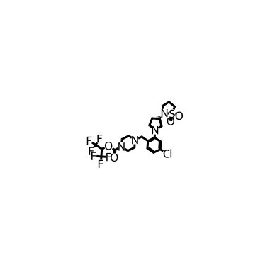 O=C(OC(C(F)(F)F)C(F)(F)F)N1CCN(Cc2ccc(Cl)cc2N2CC[C@@H](N3CCCS3(=O)=O)C2)CC1